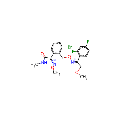 CNC(=O)/C(=N\OC)c1cccc(Br)c1CO/N=C(/COC)c1ccc(F)cc1F